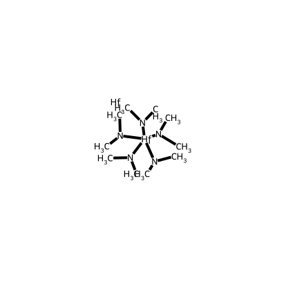 C[N](C)[Hf]([N](C)C)([N](C)C)([N](C)C)[N](C)C.[Hf]